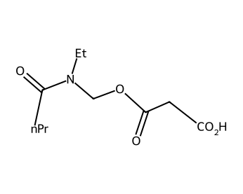 CCCC(=O)N(CC)COC(=O)CC(=O)O